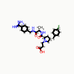 C[C@H](NC(=O)[C@H]1C[C@H](Cc2ccc(F)cc2)CN1CCC(=O)O)C(=O)NCc1ccc(C(=N)N)cc1